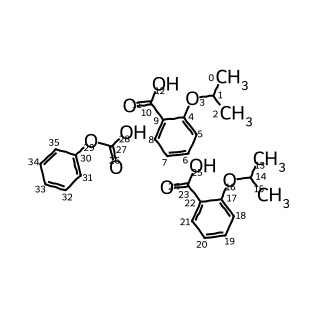 CC(C)Oc1ccccc1C(=O)O.CC(C)Oc1ccccc1C(=O)O.O=C(O)Oc1ccccc1